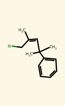 CC(=CC(C)(C)c1ccccc1)CBr